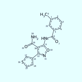 Cc1cccc(C(=O)Nc2onc(-c3ccsc3)c2C(N)=O)c1